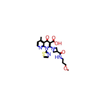 COCCCNC(=O)C1CN(c2c(C(=O)O)c(=O)c3c(C)ccnc3n2-c2nccs2)C1